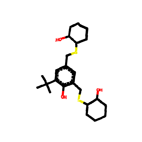 CC(C)(C)c1cc(CSC2CCCCC2O)cc(CSC2CCCCC2O)c1O